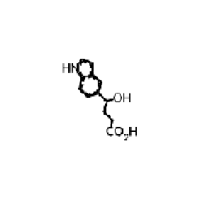 O=C(O)CCC(O)c1ccc2[nH]ccc2c1